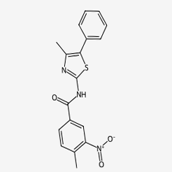 Cc1ccc(C(=O)Nc2nc(C)c(-c3ccccc3)s2)cc1[N+](=O)[O-]